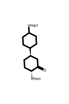 CCCCCCCC1CCC([C@@H]2CC[C@@H](CCCCC)C(=O)C2)CC1